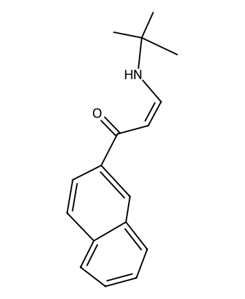 CC(C)(C)N/C=C\C(=O)c1ccc2ccccc2c1